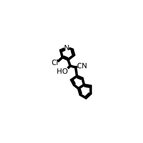 N#CC(c1ccc2ccccc2c1)C(O)c1ccncc1Cl